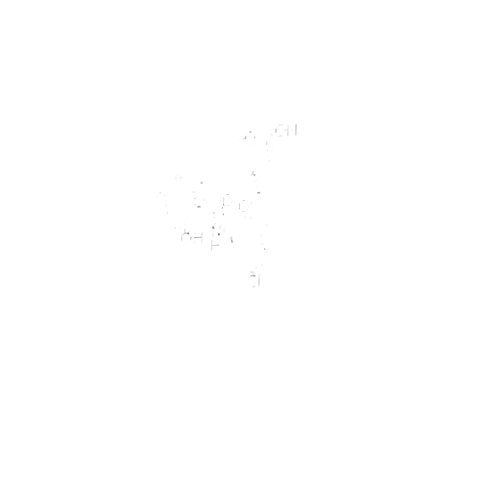 O=C(O)CCCOc1ccc(Cl)cc1NC(=O)c1ccccc1O